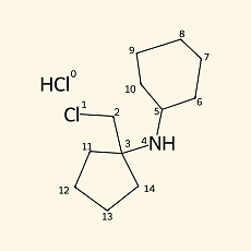 Cl.ClCC1(NC2CCCCC2)CCCC1